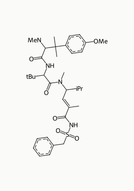 CNC(C(=O)NC(C(=O)N(C)C(/C=C(\C)C(=O)NS(=O)(=O)Cc1ccccc1)C(C)C)C(C)(C)C)C(C)(C)c1ccc(OC)cc1